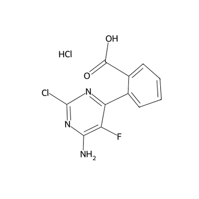 Cl.Nc1nc(Cl)nc(-c2ccccc2C(=O)O)c1F